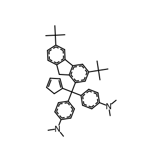 CN(C)c1ccc(C(C2=CC=CC2)(c2ccc(N(C)C)cc2)c2cc(C(C)(C)C)cc3c2Cc2ccc(C(C)(C)C)cc2-3)cc1